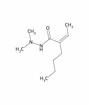 CC=C(CCCC)C(=O)NN(C)C